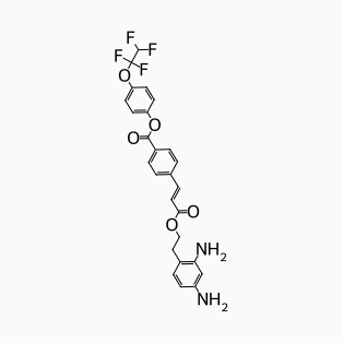 Nc1ccc(CCOC(=O)/C=C/c2ccc(C(=O)Oc3ccc(OC(F)(F)C(F)F)cc3)cc2)c(N)c1